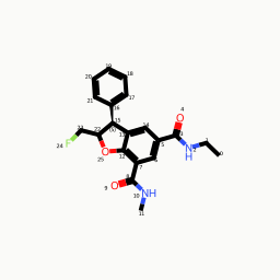 CCNC(=O)c1cc(C(=O)NC)c2c(c1)[C@H](c1ccccc1)C(CF)O2